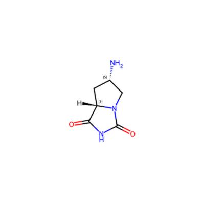 N[C@H]1C[C@H]2C(=O)NC(=O)N2C1